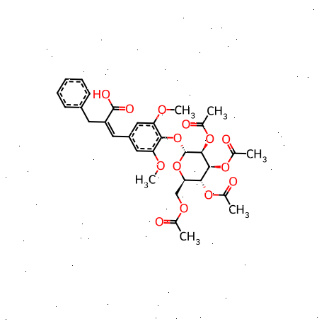 COc1cc(C=C(Cc2ccccc2)C(=O)O)cc(OC)c1O[C@H]1O[C@H](COC(C)=O)[C@@H](OC(C)=O)[C@H](OC(C)=O)[C@@H]1OC(C)=O